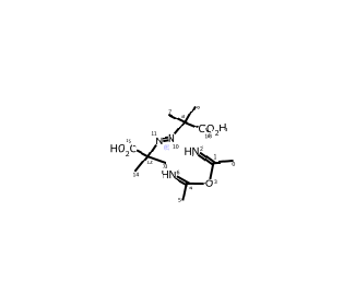 CC(=N)OC(C)=N.CC(C)(/N=N/C(C)(C)C(=O)O)C(=O)O